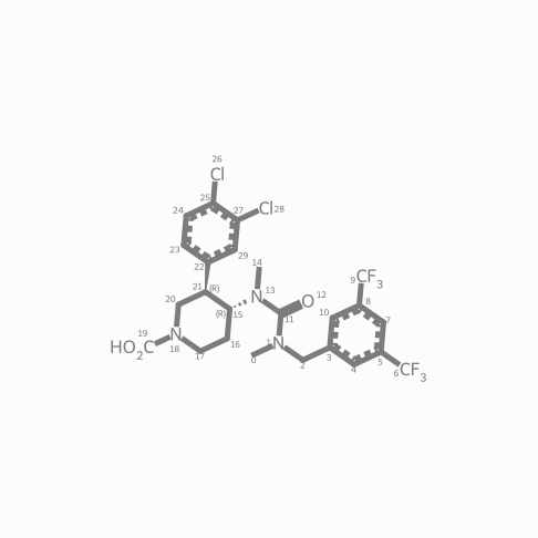 CN(Cc1cc(C(F)(F)F)cc(C(F)(F)F)c1)C(=O)N(C)[C@@H]1CCN(C(=O)O)C[C@H]1c1ccc(Cl)c(Cl)c1